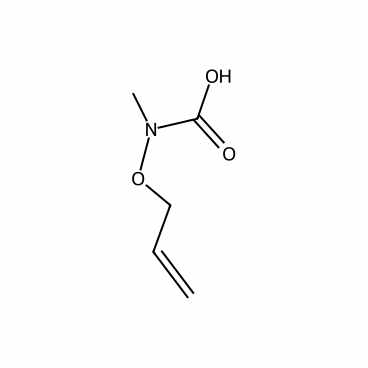 C=CCON(C)C(=O)O